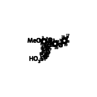 COc1ccc(S(=O)(=O)c2ccc(Oc3ccc(C)cc3)cc2)c(C(F)(F)C(F)(F)OC(F)(F)C(F)(F)S(=O)(=O)O)c1